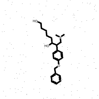 CN(C)CC(c1ccc(OCc2ccccc2)cc1)C(O)CCCCCO